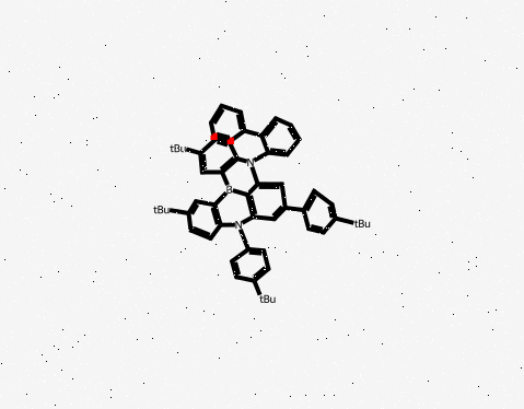 CC(C)(C)c1ccc(-c2cc3c4c(c2)N(c2ccccc2-c2ccccc2)c2ccc(C(C)(C)C)cc2B4c2cc(C(C)(C)C)ccc2N3c2ccc(C(C)(C)C)cc2)cc1